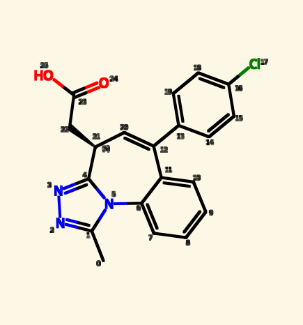 Cc1nnc2n1-c1ccccc1C(c1ccc(Cl)cc1)=C[C@@H]2CC(=O)O